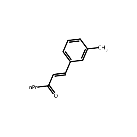 CCCC(=O)C=Cc1cccc(C)c1